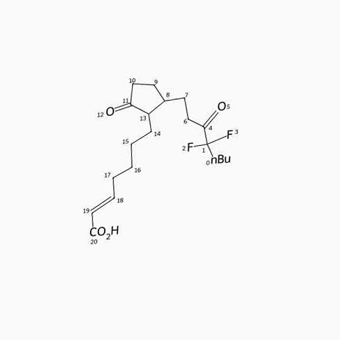 CCCCC(F)(F)C(=O)CCC1CCC(=O)C1CCCCC=CC(=O)O